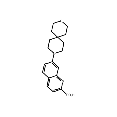 O=C(O)c1ccc2ccc(N3CCC4(CCOCC4)CC3)cc2n1